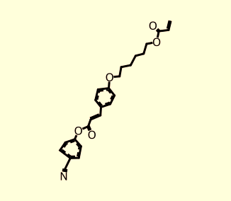 C=CC(=O)OCCCCCCOc1ccc(/C=C/C(=O)Oc2ccc(C#N)cc2)cc1